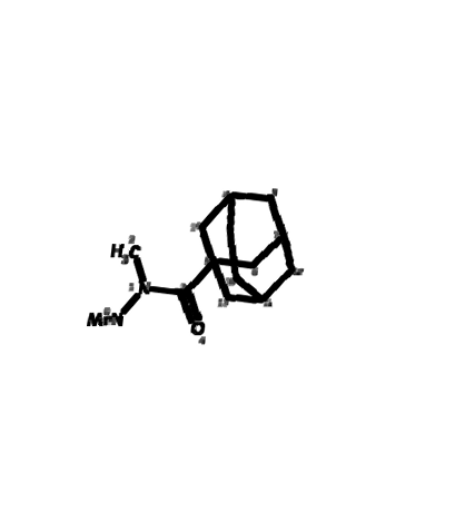 CNN(C)C(=O)C12CC3CC(CC(C3)C1)C2